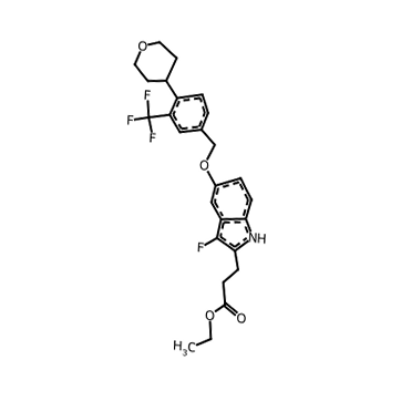 CCOC(=O)CCc1[nH]c2ccc(OCc3ccc(C4CCOCC4)c(C(F)(F)F)c3)cc2c1F